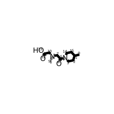 CC1CCN(C(=O)CN(I)CC(=O)O)CC1